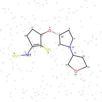 SNC1=C(S)C(O[C@@H]2CCN(C3CCOC3)C2)CC1